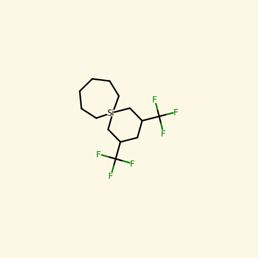 FC(F)(F)C1CC(C(F)(F)F)C[Si]2(CCCCCC2)C1